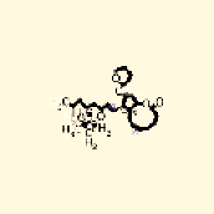 CCCCCC(/C=C/[C@@H]1[C@H]2C/C=C\CCCC(=O)O[C@H]2C[C@H]1OC1CCCCO1)O[Si](C)(C)C(C)(C)C